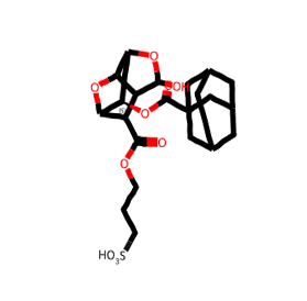 O=C(OCCCS(=O)(=O)O)C1C2C(O)OC3C2OC1[C@@H]3OC(=O)C12CC3CC(CC(C3)C1)C2